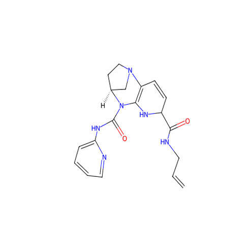 C=CCNC(=O)C1C=CC2=C(N1)N(C(=O)Nc1ccccn1)[C@H]1CCN2C1